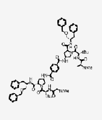 CNCC(=O)N[C@H](C(=O)N1C[C@@H](NC(=O)c2ccc(C(=O)N[C@H]3C[C@@H](C(=O)N[C@H](COCc4ccccc4)Cc4ccccc4)N(C(=O)[C@@H](NC(=O)[C@H](C)NC)C(C)(C)C)C3)cc2)C[C@H]1C(=O)N[C@H](COCc1ccccc1)Cc1ccccc1)C(C)(C)C